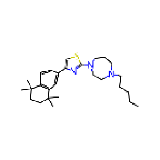 CCCCCN1CCCN(c2nc(-c3ccc4c(c3)C(C)(C)CCC4(C)C)cs2)CC1